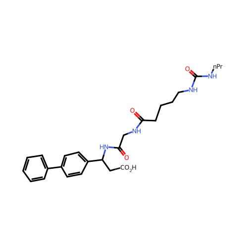 CCCNC(=O)NCCCCC(=O)NCC(=O)NC(CC(=O)O)c1ccc(-c2ccccc2)cc1